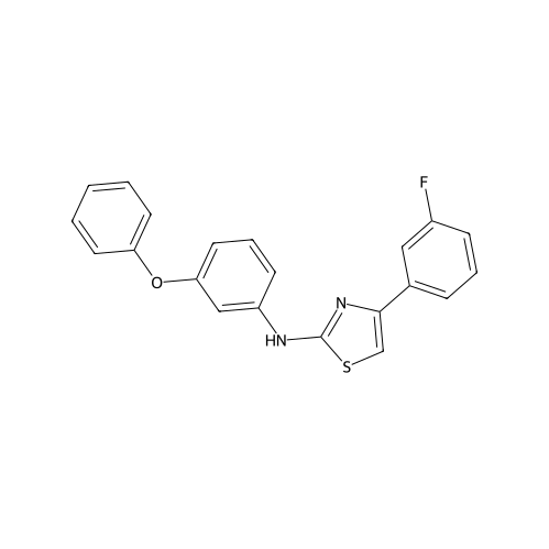 Fc1cccc(-c2csc(Nc3cccc(Oc4ccccc4)c3)n2)c1